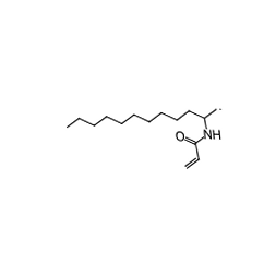 [CH2]C(CCCCCCCCCC)NC(=O)C=C